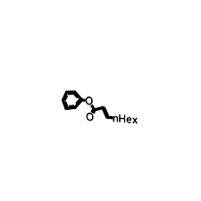 CCCCCCC=CC(=O)Oc1ccccc1